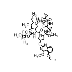 CCC[C@@H](C)C[C@@H](COC)[C@H](NC(=O)OC(C)(C)C(C)(F)F)C(=O)N1C[C@H](Oc2nc(OC)c3c(OC)cccc3n2)C[C@H]1C(=O)N[C@]1(C(=O)NS(=O)(=O)C2(C)CC2)C[C@H]1C